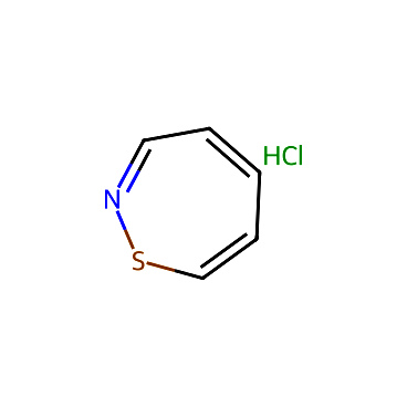 C1=CC=NSC=C1.Cl